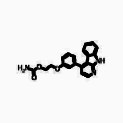 NC(=O)OCCOc1cccc(-c2ccnc3[nH]c4ccccc4c23)c1